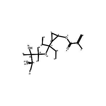 C=C(C)C(=O)OC1CC1C(CC)(CC)OC(C)(C)C(C)(O)C(F)(F)F